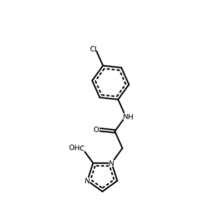 O=Cc1nccn1CC(=O)Nc1ccc(Cl)cc1